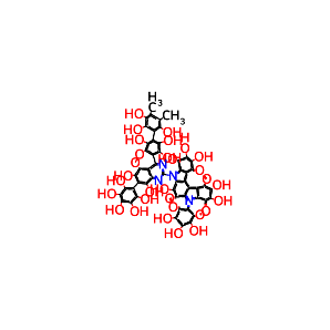 Cc1c(C)c(O)c(-c2c(O)c(O)c3c(c2O)OOc2c(O)c(-c4c(O)c(O)c(O)c(O)c4O)c(O)c4nc(-n5c6c(O)c(O)c(O)c7ooc8c(O)c(O)c9ooc%10c(O)c(O)c(O)c%11ooc%12c(O)c5c(c76)c5c8c9n(c%10%11)c%125)nc-3c24)c(O)c1O